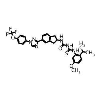 COc1ccc(C(C)C)c(NC(=S)NC(=O)NC2Cc3ccc(-c4ncn(-c5ccc(OC(F)(F)F)cc5)n4)cc3C2)c1